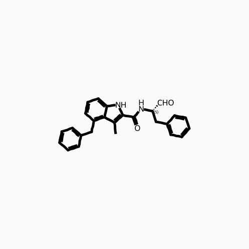 Cc1c(C(=O)N[C@H](C=O)Cc2ccccc2)[nH]c2cccc(Cc3ccccc3)c12